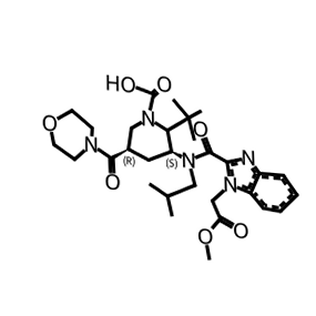 COC(=O)Cn1c(C(=O)N(CC(C)C)[C@H]2C[C@@H](C(=O)N3CCOCC3)CN(C(=O)O)C2C(C)(C)C)nc2ccccc21